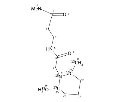 [13CH3][15NH]C(=O)CCNC(=O)C[15N]1[13CH]([13CH3])CCC[13CH]1[13CH3]